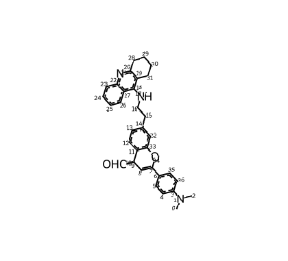 CN(C)c1ccc(C2=CC(C=O)c3ccc(CCNc4c5c(nc6ccccc46)CCCC5)cc3O2)cc1